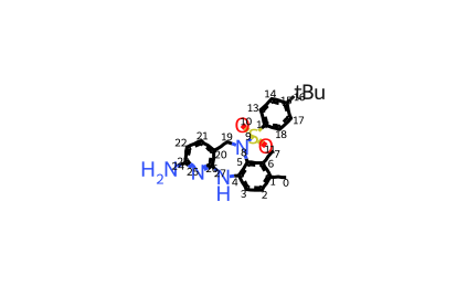 Cc1ccc2c(c1C)N(S(=O)(=O)c1ccc(C(C)(C)C)cc1)Cc1ccc(N)nc1N2